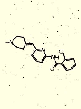 CN1CCC(=Cc2cccc(NC(=O)c3ccccc3Cl)n2)CC1